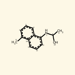 Cc1cccc2c(NC(C)O)cccc12